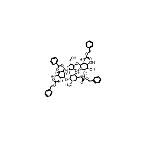 CC[C@@H]1O[C@H](O[C@H]2[C@@H](O)[C@H](O[C@H]3[C@H](O[C@H]4O[C@@H]5COC(c6ccccc6)O[C@H]5[C@H](O)[C@H]4NC(=O)OCc4ccccc4)[C@@H](C)CC(NC(=O)OCc4ccccc4)[C@@H]3O)O[C@@H]2CO)[C@H](NC(=O)OCc2ccccc2)[C@@H](O)[C@@H]1O